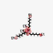 CCOCCCCCCC(OCC)OP(=O)(OC(CCCCCCOCC)OCC)OC(CCCCCCOCC)OCC